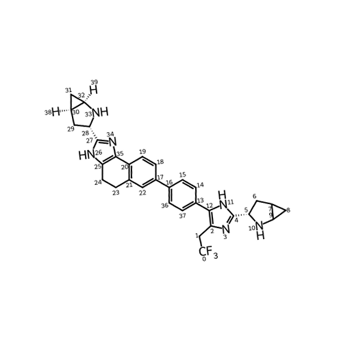 FC(F)(F)Cc1nc([C@@H]2CC3CC3N2)[nH]c1-c1ccc(-c2ccc3c(c2)CCc2[nH]c([C@@H]4C[C@H]5C[C@H]5N4)nc2-3)cc1